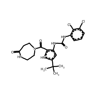 CC(C)(C)c1cc(NC(=O)Nc2cccc(Cl)c2Cl)c(C(=O)N2CCNC(=O)CC2)[nH]1